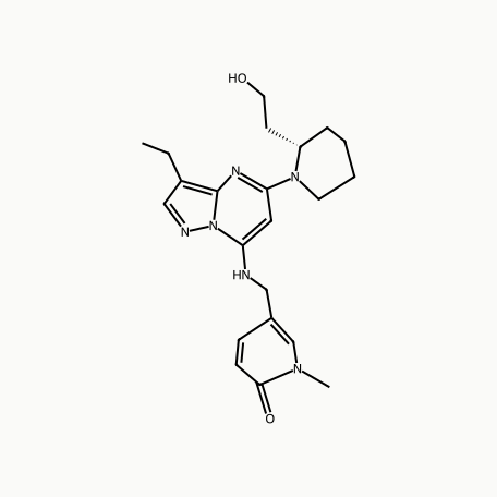 CCc1cnn2c(NCc3ccc(=O)n(C)c3)cc(N3CCCC[C@H]3CCO)nc12